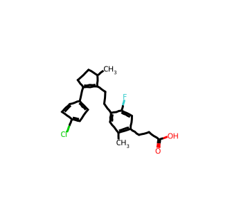 Cc1cc(CCC2=C(c3ccc(Cl)cc3)CCC2C)c(F)cc1CCC(=O)O